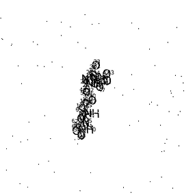 CC[C@H](C)N(Cc1nc2ccc3cc4c(cc3c2[nH]1)OCc1cc(-c2cnc([C@@H]3C[C@H](COC)CN3C(=O)[C@@H](NC(=O)OC)[C@@H](C)OC)[nH]2)ccc1-4)C(=O)[C@@H](NC(=O)OC)C(C)C